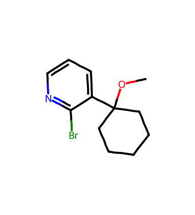 COC1(c2cccnc2Br)CCCCC1